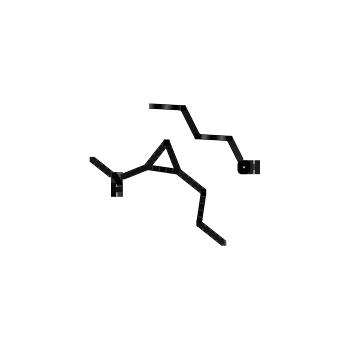 CCCC1CC1NC.CCCCO